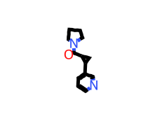 O=C(C1CC1c1cccnc1)N1CCCC1